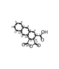 O=C(O)c1cc2cc3ccccc3cc2c2c1C(=O)OC2=O